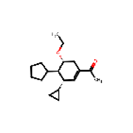 CCO[C@@H]1CC(C(C)=O)=C[C@H](C2CC2)C1C1CCCC1